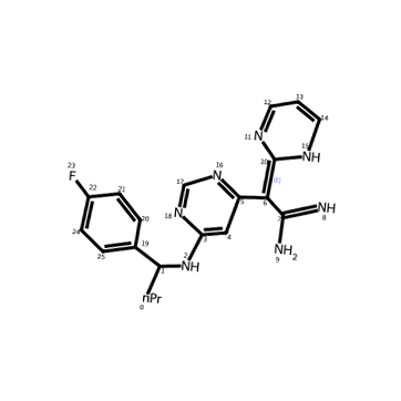 CCCC(Nc1cc(/C(C(=N)N)=C2\N=CC=CN2)ncn1)c1ccc(F)cc1